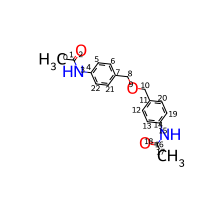 CC(=O)Nc1ccc(COCc2ccc(NC(C)=O)cc2)cc1